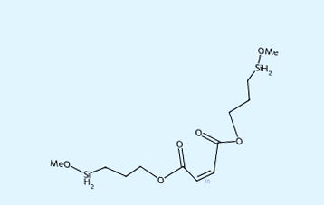 CO[SiH2]CCCOC(=O)/C=C\C(=O)OCCC[SiH2]OC